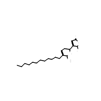 CCCCCCCCCCCCC1=CCC(C2=CC(=O)OC2O)OC1O